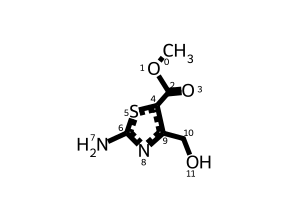 COC(=O)c1sc(N)nc1CO